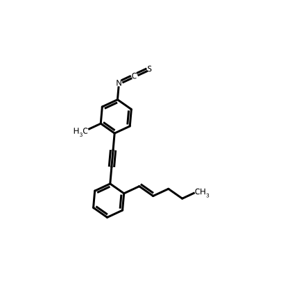 CCCC=Cc1ccccc1C#Cc1ccc(N=C=S)cc1C